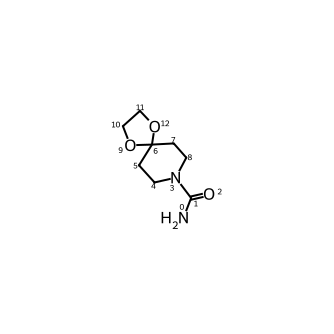 NC(=O)N1CCC2(CC1)OCCO2